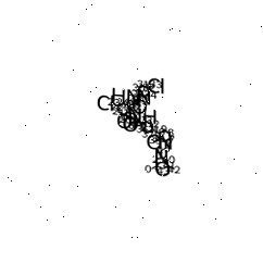 CC1CN(CCn2cccc(-c3ccc(C(=O)Nc4c(O)cc(Cl)cc4C(=O)Nc4ccc(Cl)cn4)cc3)c2=O)CC(C)O1